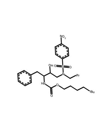 CC(C)CN(CC(O)C(Cc1ccccc1)NC(=O)OCCCCC(C)(C)C)S(=O)(=O)c1ccc([N+](=O)[O-])cc1